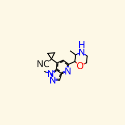 CC1NCCOC1c1cc(C2(C#N)CC2)c2c(cnn2C)n1